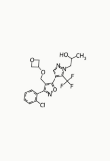 CC(O)Cn1ncc(-c2onc(-c3ccccc3Cl)c2COC2COC2)c1C(F)(F)F